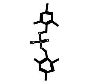 Cc1cc(C)c(COP(=O)(O)OCc2c(C)cc(C)cc2C)c(C)c1